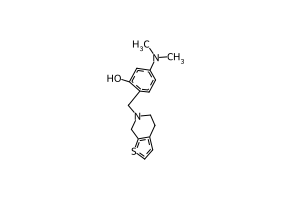 CN(C)c1ccc(CN2CCc3ccsc3C2)c(O)c1